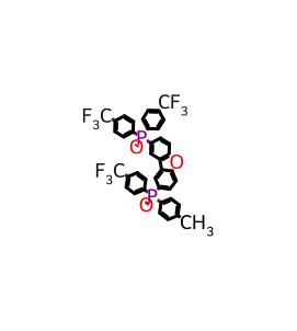 Cc1ccc(P(=O)(c2ccc(C(F)(F)F)cc2)c2ccc3oc4ccc(P(=O)(c5ccc(C(F)(F)F)cc5)c5ccc(C(F)(F)F)cc5)cc4c3c2)cc1